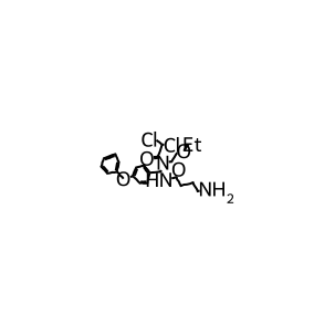 CCOCCN(C(=O)C(Cl)Cl)C(NC(=O)CCCN)c1ccc(Oc2ccccc2)cc1